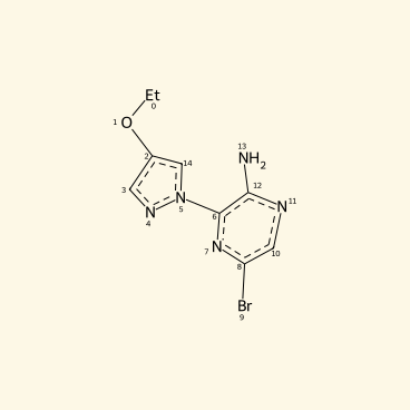 CCOc1cnn(-c2nc(Br)cnc2N)c1